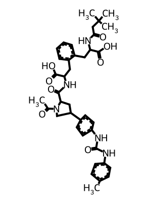 CC(=O)N1CC(c2ccc(NC(=O)Nc3ccc(C)cc3)cc2)CC1C(=O)NC(Cc1ccccc1CC(NC(=O)CC(C)(C)C)C(=O)O)C(=O)O